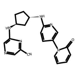 N#Cc1cncc(N[C@H]2CC[C@H](Nc3ccc(-n4ccccc4=O)cn3)C2)n1